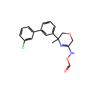 CC1(c2cccc(-c3cccc(Cl)c3)c2)COCC(NOC=O)=N1